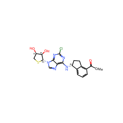 COC(=O)c1cccc2c1CC[C@H]2Nc1nc(Cl)nc2c1ncn2[C@@H]1SC[C@@H](O)[C@H]1O